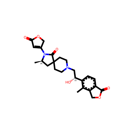 Cc1c([C@H](O)CN2CCC3(CC2)C[C@@H](C)N(C2=CC(=O)OC2)C3=O)ccc2c1COC2=O